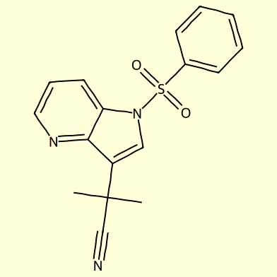 CC(C)(C#N)c1cn(S(=O)(=O)c2ccccc2)c2cccnc12